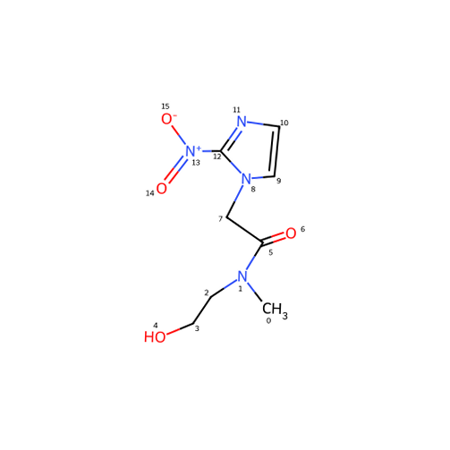 CN(CCO)C(=O)Cn1ccnc1[N+](=O)[O-]